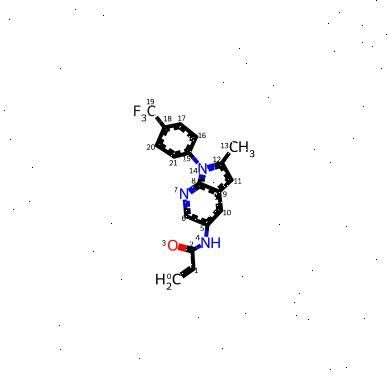 C=CC(=O)Nc1cnc2c(c1)cc(C)n2-c1ccc(C(F)(F)F)cc1